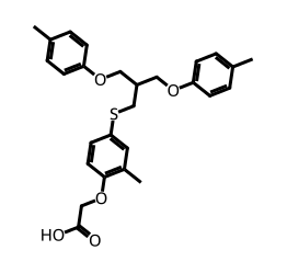 Cc1ccc(OCC(COc2ccc(C)cc2)CSc2ccc(OCC(=O)O)c(C)c2)cc1